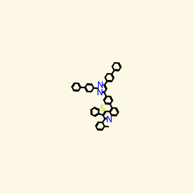 CC1C=CC=CC1c1nc2cccc(-c3ccc(-c4cc(C5=CC=C(C6=CC=CCC6)CC5)nc(C5C=CC(c6ccccc6)=CC5)n4)cc3)c2c2sc3ccccc3c12